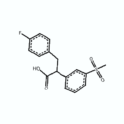 CS(=O)(=O)c1cccc(C(Cc2ccc(F)cc2)C(=O)O)c1